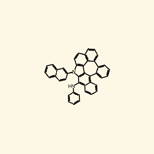 c1ccc(Nc2c3ccccc3c3c4c5c6c(cccc6ccc5n(-c5ccc6ccccc6c5)c24)-c2ccccc2-3)cc1